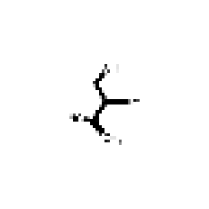 C=C(C#N)C(CO)C(C)C